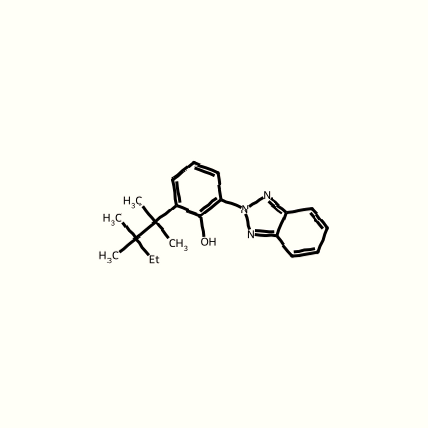 CCC(C)(C)C(C)(C)c1cccc(-n2nc3ccccc3n2)c1O